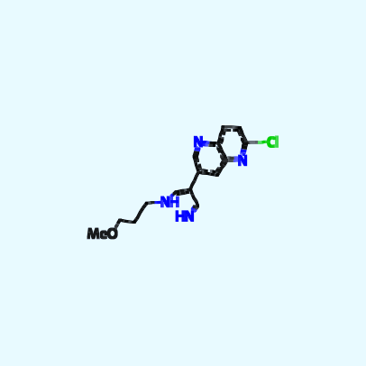 COCCCN/C=C(\C=N)c1cnc2ccc(Cl)nc2c1